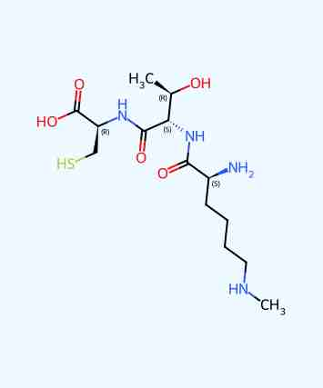 CNCCCC[C@H](N)C(=O)N[C@H](C(=O)N[C@@H](CS)C(=O)O)[C@@H](C)O